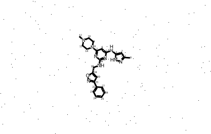 Cc1cc(Nc2cc(N3CCN(C)CC3)nc(NCc3cc(-c4ccccc4)no3)n2)[nH]n1